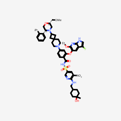 CCOc1nc2[nH]cc(F)c2cc1Oc1cc(N2CCC3(CC2)CC(N2C[C@@H](COC)OC[C@H]2c2ccccc2C(C)C)C3)ccc1C(=O)NS(=O)(=O)c1cnc(NCC2CCC(C)(O)CC2)c([N+](=O)[O-])c1